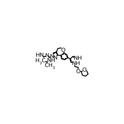 CC(C)N/C(=N\C=N)n1cc2c(n1)-c1ccc(/C(C=N)=C/NCCOC3CCCCO3)cc1OCC2